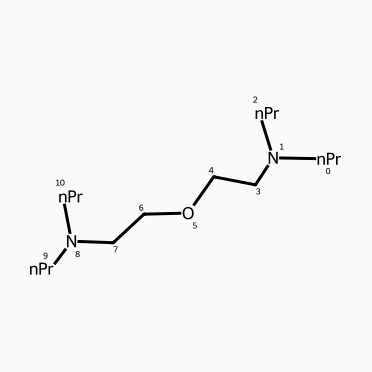 CCCN(CCC)CCOCCN(CCC)CCC